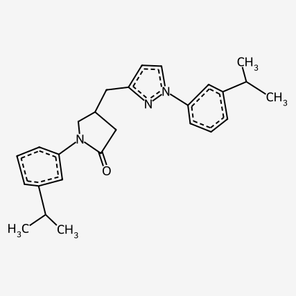 CC(C)c1cccc(N2CC(Cc3ccn(-c4cccc(C(C)C)c4)n3)CC2=O)c1